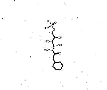 O=C(CC1CCCCC1)[C@@H](O)[C@@H](O)[C@H](O)[C@H](O)COP(=O)(O)O